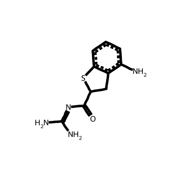 NC(N)=NC(=O)C1Cc2c(N)cccc2S1